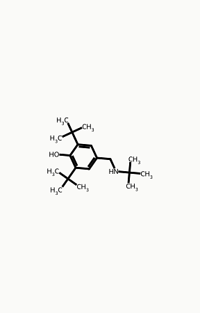 CC(C)(C)NCc1cc(C(C)(C)C)c(O)c(C(C)(C)C)c1